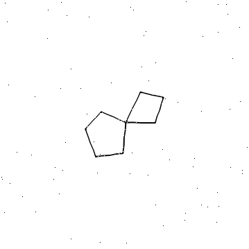 C1CCC2(C1)CCC2